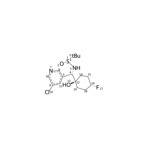 CC(C)(C)[S+]([O-])N[C@@H](c1cncc(Cl)c1)[C@]1(O)CC[C@H](F)CC1